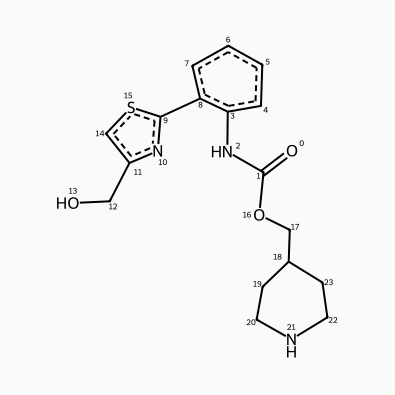 O=C(Nc1ccccc1-c1nc(CO)cs1)OCC1CCNCC1